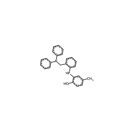 Cc1ccc(O)c(Pc2ccccc2CN(c2ccccc2)c2ccccc2)c1